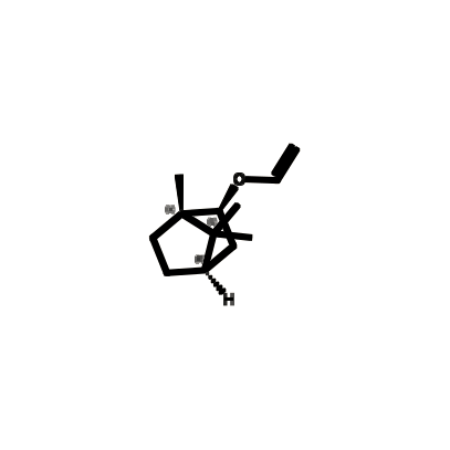 C=CO[C@H]1C[C@H]2CC[C@@]1(C)C2(C)C